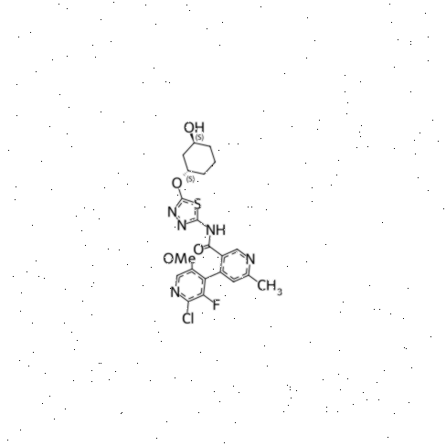 COc1cnc(Cl)c(F)c1-c1cc(C)ncc1C(=O)Nc1nnc(O[C@H]2CCC[C@H](O)C2)s1